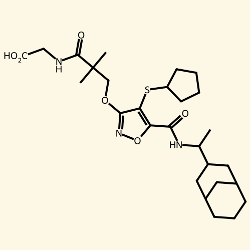 CC(NC(=O)c1onc(OCC(C)(C)C(=O)NCC(=O)O)c1SC1CCCC1)C1CC2CCCC(C2)C1